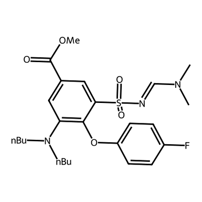 CCCCN(CCCC)c1cc(C(=O)OC)cc(S(=O)(=O)N=CN(C)C)c1Oc1ccc(F)cc1